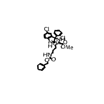 COC(=O)[C@@H](CCCCNC(=O)OCc1ccccc1)NC1(c2ccccc2Cl)C(=O)Nc2ccc(Cl)cc21